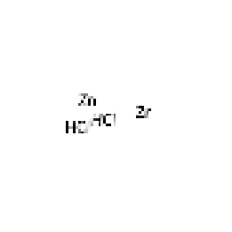 Cl.Cl.[Zn].[Zr]